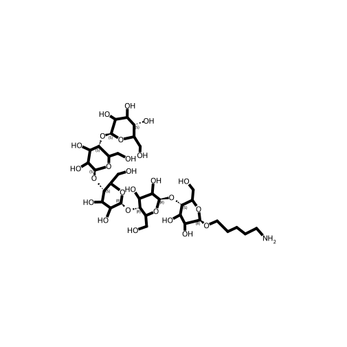 NCCCCCO[C@@H]1OC(CO)[C@@H](O[C@H]2OC(CO)[C@H](O[C@H]3OC(CO)[C@@H](O[C@@H]4OC(CO)[C@@H](O[C@@H]5OC(CO)[C@@H](O)C(O)C5O)C(O)C4O)C(O)C3O)C(O)C2O)C(O)C1O